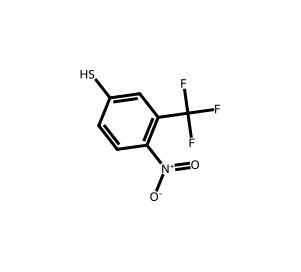 O=[N+]([O-])c1ccc(S)cc1C(F)(F)F